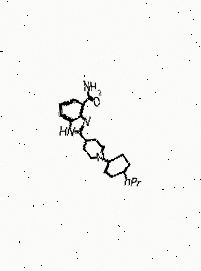 CCCC1CCC(N2CCC(c3nc4c(C(N)=O)cccc4[nH]3)CC2)CC1